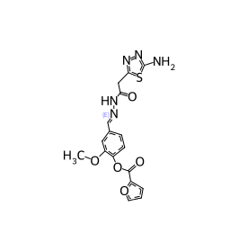 COc1cc(/C=N/NC(=O)Cc2nnc(N)s2)ccc1OC(=O)c1ccco1